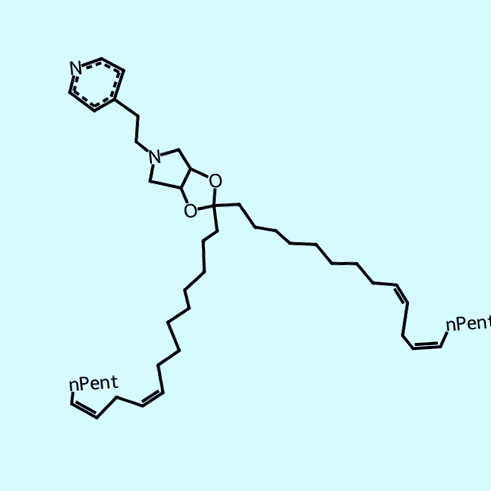 CCCCC/C=C\C/C=C\CCCCCCCCC1(CCCCCCCC/C=C\C/C=C\CCCCC)OC2CN(CCc3ccncc3)CC2O1